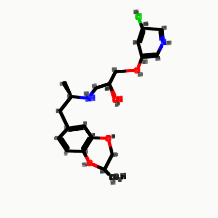 C[C@H](Cc1ccc2c(c1)OCC(C(=O)O)O2)NC[C@H](O)COc1cncc(Cl)c1